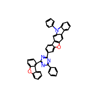 c1ccc(-c2nc(-c3ccc4c(c3)oc3cc5c6ccccc6n(-c6ccccc6)c5cc34)nc(-c3cccc4oc5ccccc5c34)n2)cc1